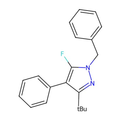 CC(C)(C)c1nn(Cc2ccccc2)c(F)c1-c1ccccc1